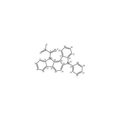 C=C(C)C(=O)n1c2ccccc2c2ccc3c(c4ccccc4n3-c3ccccc3)c21